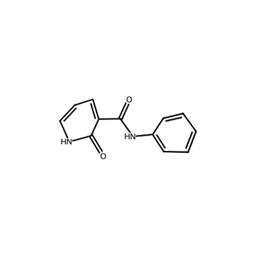 O=C(Nc1ccccc1)c1ccc[nH]c1=O